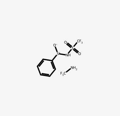 NC(F)(F)F.O=S(=O)(N[S+]([O-])c1ccccc1)C(F)(F)F